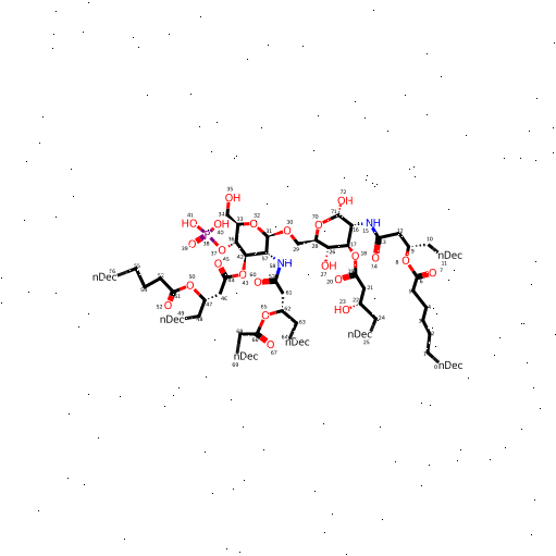 CCCCCCCCCCCCCCCC(=O)O[C@@H](CCCCCCCCCCC)CC(=O)N[C@@H]1[C@@H](OC(=O)C[C@@H](O)CCCCCCCCCCC)[C@H](O)[C@@H](CO[C@@H]2O[C@H](CO)[C@@H](OP(=O)(O)O)[C@H](OC(=O)C[C@H](CCCCCCCCCCC)OC(=O)CCCCCCCCCCCCC)[C@H]2NC(=O)C[C@H](CCCCCCCCCCC)OC(=O)CCCCCCCCCCC)O[C@@H]1O